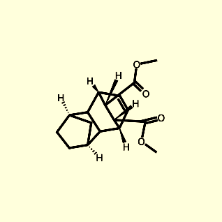 COC(=O)[C@@H]1[C@H](C(=O)OC)[C@@H]2C=C[C@H]1C1C2[C@H]2CC[C@@H]1C2